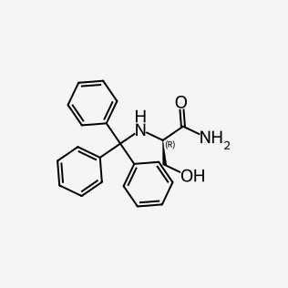 NC(=O)[C@@H](CO)NC(c1ccccc1)(c1ccccc1)c1ccccc1